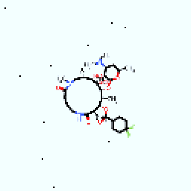 C[C@H]1CN(C)C(=O)CCCNC(=O)[C@H](C)[C@@H](OC(=O)C2CCC(F)(F)CC2)[C@H](C)[C@@H](O[C@@H]2O[C@H](C)C[C@H](N(C)C)[C@H]2O)[C@](C)(O)C1